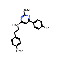 COc1ccc(CC[AsH]c2cc(-c3ccc(C(C)=O)cc3)nc(OC)n2)cc1